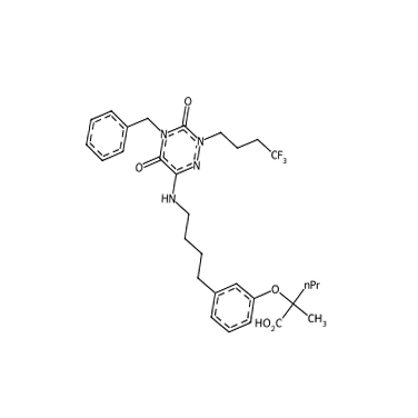 CCCC(C)(Oc1cccc(CCCCNc2nn(CCCC(F)(F)F)c(=O)n(Cc3ccccc3)c2=O)c1)C(=O)O